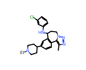 CCN1CCC(c2ccc3c(c2)C(Nc2cccc(Cl)c2)CCn2nnc(C)c2-3)CC1